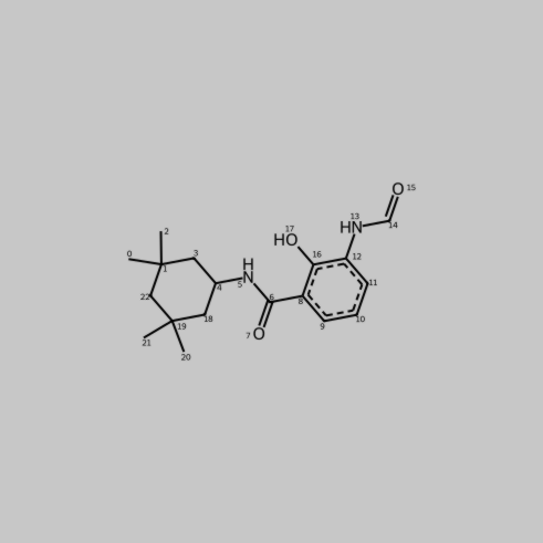 CC1(C)CC(NC(=O)c2cccc(NC=O)c2O)CC(C)(C)C1